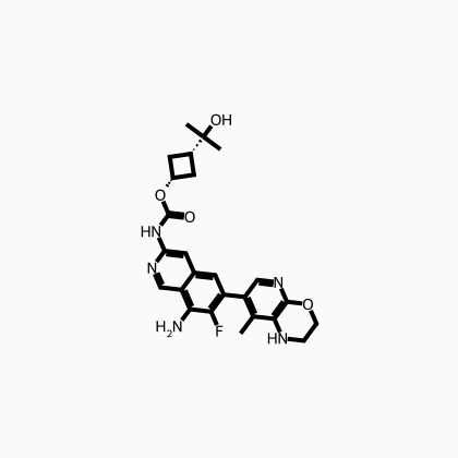 Cc1c(-c2cc3cc(NC(=O)O[C@H]4C[C@@H](C(C)(C)O)C4)ncc3c(N)c2F)cnc2c1NCCO2